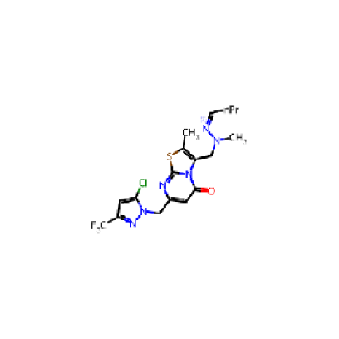 CCC/C=N\N(C)Cc1c(C)sc2nc(Cn3nc(C(F)(F)F)cc3Cl)cc(=O)n12